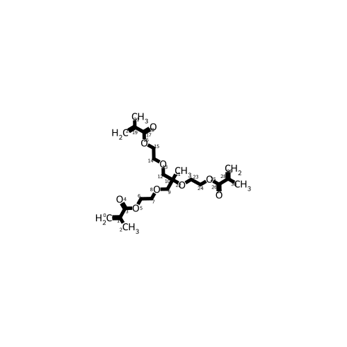 C=C(C)C(=O)OCCOCC(C)(COCCOC(=O)C(=C)C)OCCOC(=O)C(=C)C